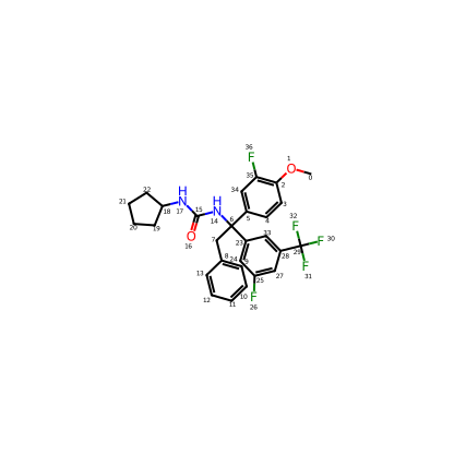 COc1ccc(C(Cc2ccccc2)(NC(=O)NC2CCCC2)c2cc(F)cc(C(F)(F)F)c2)cc1F